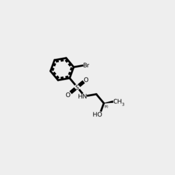 C[C@@H](O)CNS(=O)(=O)c1ccccc1Br